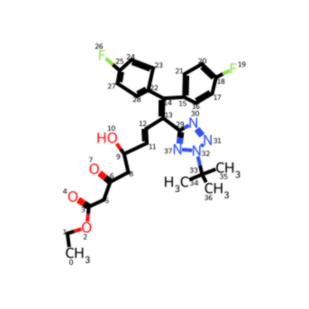 CCOC(=O)CC(=O)CC(O)C=CC(=C(c1ccc(F)cc1)c1ccc(F)cc1)c1nnn(C(C)(C)C)n1